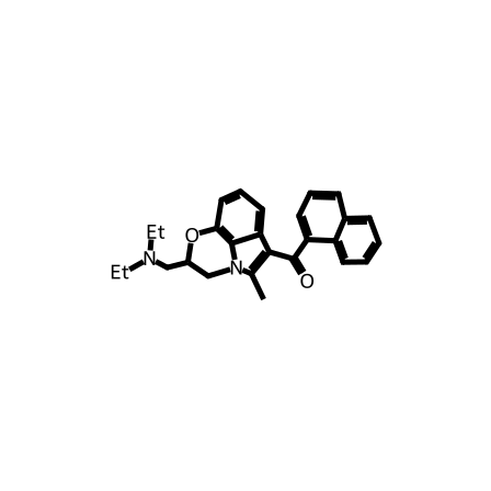 CCN(CC)CC1Cn2c(C)c(C(=O)c3cccc4ccccc34)c3cccc(c32)O1